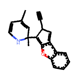 C#CC1C=c2c(oc3ccccc23)=C1C1(C)C=C(C)C=CN1